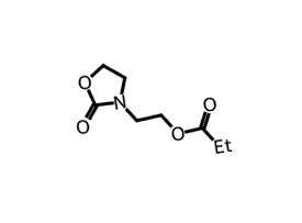 CCC(=O)OCCN1CCOC1=O